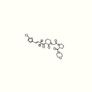 O=C1[C@@H](NS(=O)(=O)/C=C/c2ccc(Cl)s2)CCCN1CC(=O)N1CCC[C@H]1C(=O)N1CCOCC1